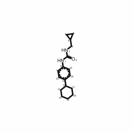 O=C(NCC1CC1)Nc1ccc(C2CCCCC2)cc1